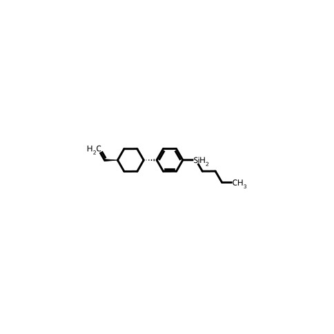 C=C[C@H]1CC[C@H](c2ccc([SiH2]CCCC)cc2)CC1